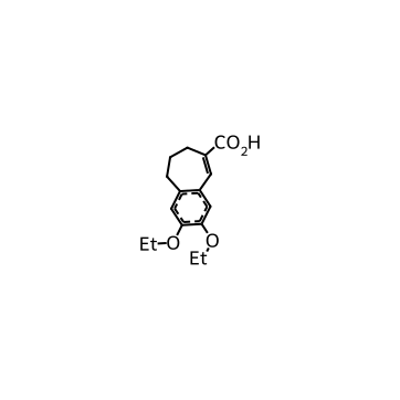 CCOc1cc2c(cc1OCC)CCCC(C(=O)O)=C2